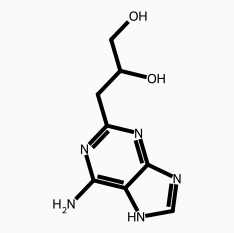 Nc1nc(CC(O)CO)nc2nc[nH]c12